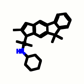 CC1=Cc2cc3c(cc2C1[Si](C)(C)NC1CCCCC1)C(C)(C)c1ccccc1-3